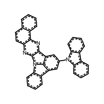 c1ccc2c(c1)ccc1nc3c(nc12)c1cc(-n2c4ccccc4c4ccccc42)cc2c4ccccc4n3c21